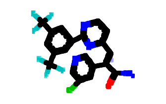 NC(=O)/C(=C/c1ccnc(-c2cc(C(F)(F)F)cc(C(F)(F)F)c2)n1)c1cncc(Cl)c1